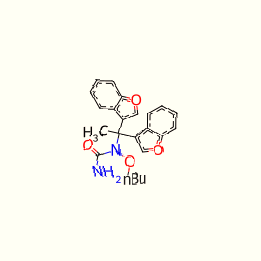 CCCCON(C(N)=O)C(C)(c1coc2ccccc12)c1coc2ccccc12